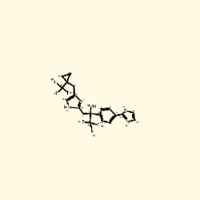 OC(Cc1nc(CC2(C(F)(F)F)CC2)c[nH]1)(c1ccc(-c2nccs2)cc1)C(F)(F)F